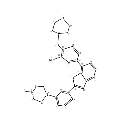 CN1CCN(c2cccc(-c3cc4nccc(-c5ccc(OC6CCOCC6)c(C#N)c5)c4o3)c2)CC1